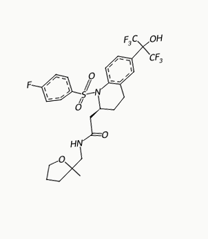 CC1(CNC(=O)C[C@@H]2CCc3cc(C(O)(C(F)(F)F)C(F)(F)F)ccc3N2S(=O)(=O)c2ccc(F)cc2)CCCO1